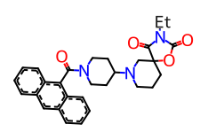 CCN1C(=O)OC2(CCCN(C3CCN(C(=O)c4c5ccccc5cc5ccccc45)CC3)C2)C1=O